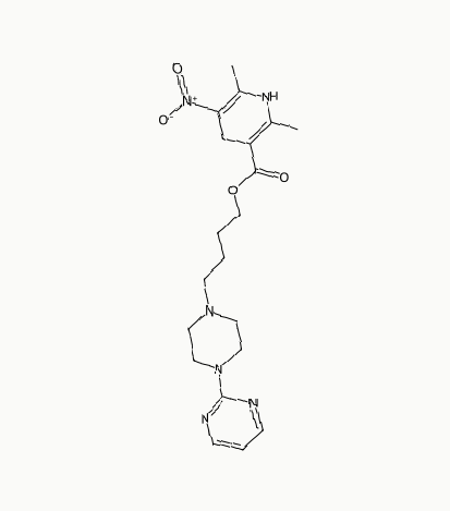 CC1=C(C(=O)OCCCCN2CCN(c3ncccn3)CC2)CC([N+](=O)[O-])=C(C)N1